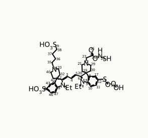 CCN1C(=CC=CC2=[N+](CC)c3ccc(SOOO)cc3C23CCN(CC(=O)ONS)CC3)C2(CCN(CCCCS(=O)(=O)O)CC2)c2cc(S(=O)(=O)O)ccc21